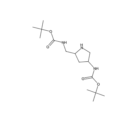 CC(C)(C)OC(=O)NCC1CC(NC(=O)OC(C)(C)C)CN1